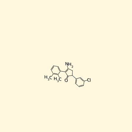 Cc1cccc(C2=C(N)CC(c3cccc(Cl)c3)C2=O)c1C